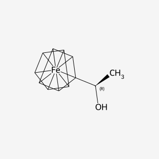 C[C@@H](O)[C]12[CH]3[CH]4[CH]5[CH]1[Fe]45321678[CH]2[CH]1[CH]6[CH]7[CH]28